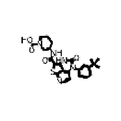 CC(C)(C)c1cccc(N2C(=O)Nc3c(C(=O)NC4CCCN(C(=O)O)C4)sc4nccc2c34)c1